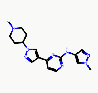 [CH2]N1CCC(n2cc(-c3ccnc(Nc4cnn(C)c4)n3)cn2)CC1